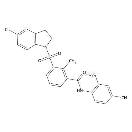 Cc1c(C(=O)Nc2ccc(C#N)cc2C(=O)O)cccc1S(=O)(=O)N1CCc2cc(Cl)ccc21